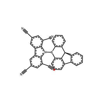 CC12c3ccccc3B(n3c4c(C#N)cc(C#N)cc4c4cc(C#N)cc(C#N)c43)c3cccc(c31)-c1ccccc12